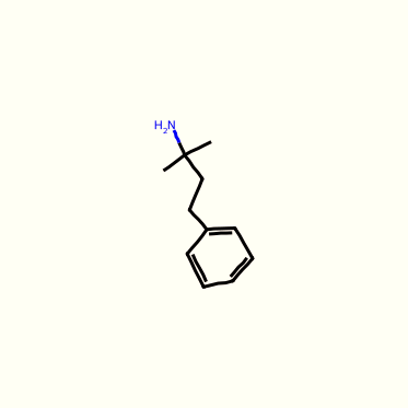 CC(C)(N)CCc1ccccc1